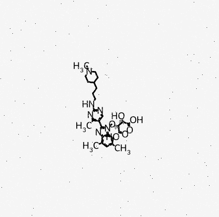 Cc1cc(C)c2nc(-c3cnc(NCCCC4CCN(C)CC4)nc3C)n(O[C@@H](C(=O)O)[C@@H](O)C(=O)O)c2c1